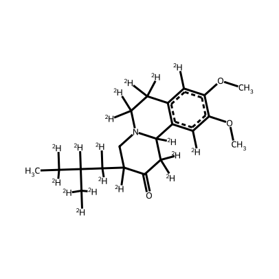 [2H]c1c(OC)c(OC)c([2H])c2c1C([2H])([2H])C([2H])([2H])N1CC([2H])(C([2H])([2H])C([2H])(C([2H])([2H])[2H])C([2H])([2H])C)C(=O)C([2H])([2H])C21[2H]